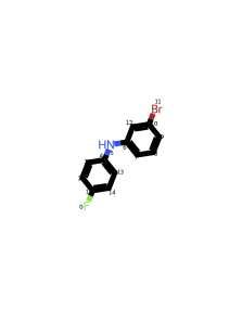 Fc1ccc(Nc2cccc(Br)c2)cc1